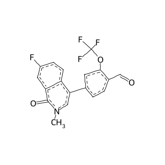 Cn1cc(-c2ccc(C=O)c(OC(F)(F)F)c2)c2ccc(F)cc2c1=O